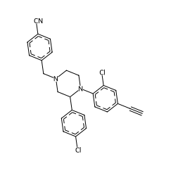 C#Cc1ccc(N2CCN(Cc3ccc(C#N)cc3)CC2c2ccc(Cl)cc2)c(Cl)c1